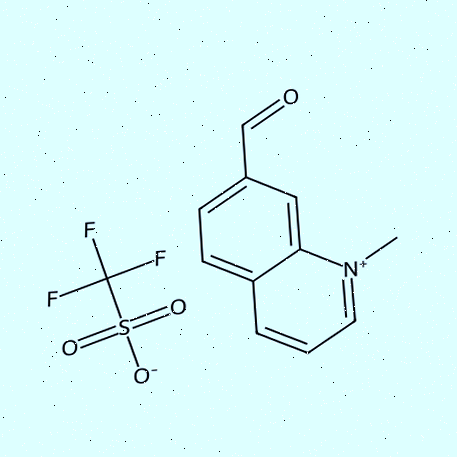 C[n+]1cccc2ccc(C=O)cc21.O=S(=O)([O-])C(F)(F)F